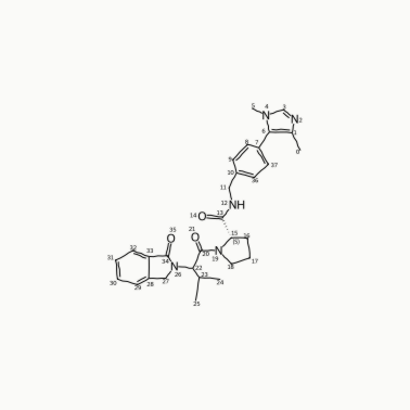 Cc1ncn(C)c1-c1ccc(CNC(=O)[C@@H]2CCCN2C(=O)C(C(C)C)N2Cc3ccccc3C2=O)cc1